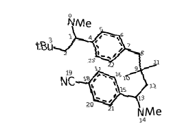 CNC(CC(C)(C)C)c1ccc(CC(C)(C)CC(NC)c2ccc(C#N)cc2)cc1